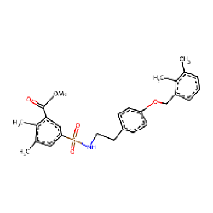 COC(=O)c1cc(S(=O)(=O)NCCc2ccc(OCc3cccc(C)c3C)cc2)cc(C)c1C